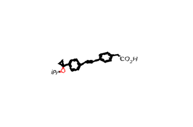 CC(C)OC1(c2ccc(C#Cc3ccc(CC(=O)O)cc3)cc2)CC1